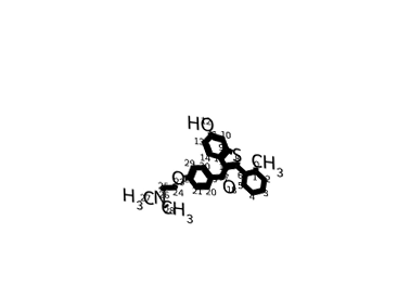 CC1CCCCC1c1sc2cc(O)ccc2c1C(=O)c1ccc(OCCN(C)C)cc1